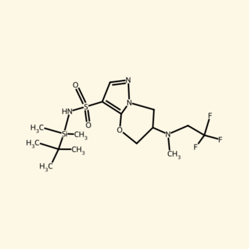 CN(CC(F)(F)F)C1COc2c(S(=O)(=O)N[Si](C)(C)C(C)(C)C)cnn2C1